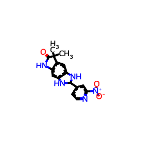 CC1(C)C(=O)Nc2cc3c(cc21)NC(c1ccnc([N+](=O)[O-])c1)N3